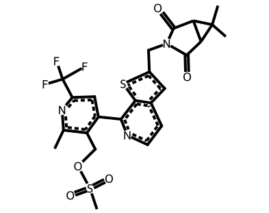 Cc1nc(C(F)(F)F)cc(-c2nccc3cc(CN4C(=O)C5C(C4=O)C5(C)C)sc23)c1COS(C)(=O)=O